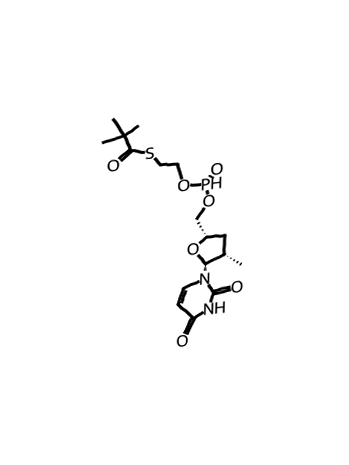 C[C@H]1C[C@@H](CO[PH](=O)OCCSC(=O)C(C)(C)C)O[C@H]1n1ccc(=O)[nH]c1=O